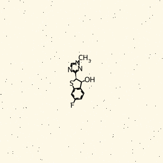 Cn1cnc([C@@H]2Sc3cc(F)ccc3[C@@H]2O)n1